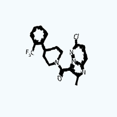 Cc1nc2ccc(Cl)nn2c1C(=O)N1CCC(c2ccccc2C(F)(F)F)CC1